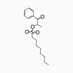 CCCCCCCCS(=O)(=O)OC(C)C(=O)c1ccccc1